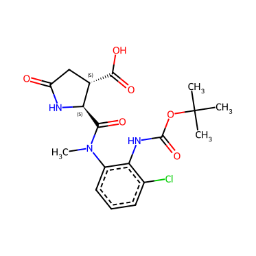 CN(C(=O)[C@H]1NC(=O)C[C@@H]1C(=O)O)c1cccc(Cl)c1NC(=O)OC(C)(C)C